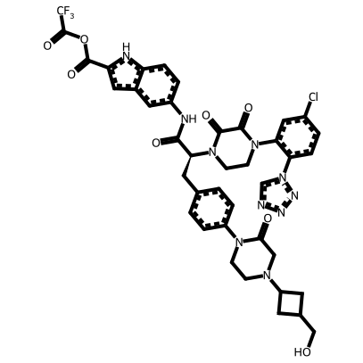 O=C(OC(=O)C(F)(F)F)c1cc2cc(NC(=O)[C@H](Cc3ccc(N4CCN(C5CC(CO)C5)CC4=O)cc3)N3CCN(c4cc(Cl)ccc4-n4cnnn4)C(=O)C3=O)ccc2[nH]1